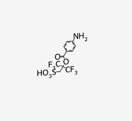 Nc1ccc(C(=O)OC(CS(=O)(=O)O)(C(F)(F)F)C(F)(F)F)cc1